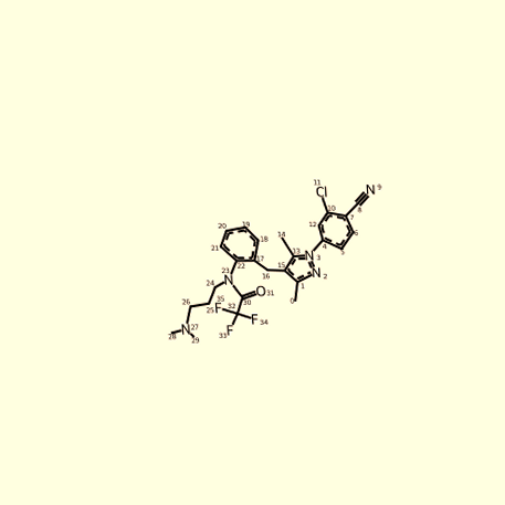 Cc1nn(-c2ccc(C#N)c(Cl)c2)c(C)c1Cc1ccccc1N(CCCN(C)C)C(=O)C(F)(F)F